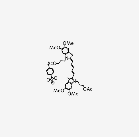 COc1cc2c(cc1OC)N(CCCOC(C)=O)C(=CC=CC=Cc1sc3cc(OC)c(OC)cc3[n+]1CCCOC(C)=O)S2.Cc1ccc(S(=O)(=O)[O-])cc1